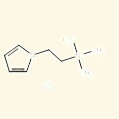 C[N+](C)(C)CCn1cccc1.[Cl-]